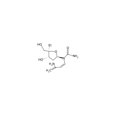 C=C(N)/C=C\N(C(N)=O)[C@H]1C[C@H](O)[C@@](CC)(CO)O1